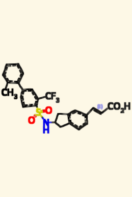 Cc1ccccc1-c1ccc(S(=O)(=O)NC2Cc3ccc(/C=C/C(=O)O)cc3C2)c(C(F)(F)F)c1